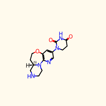 O=C1CCN(c2cnc3c(c2)OCC[C@H]2CNCCN32)C(=O)N1